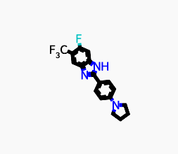 Fc1cc2[nH]c(-c3ccc(N4CCCC4)cc3)nc2cc1C(F)(F)F